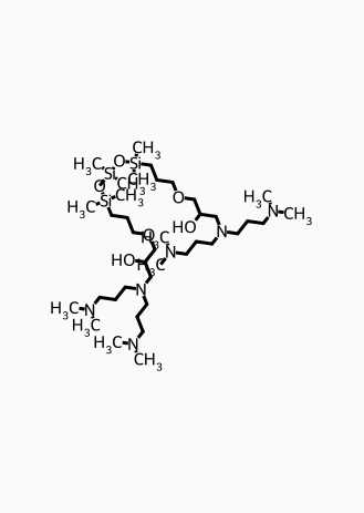 CN(C)CCCN(CCCN(C)C)CC(O)COCCC[Si](C)(C)O[Si](C)(C)O[Si](C)(C)CCCOCC(O)CN(CCCN(C)C)CCCN(C)C